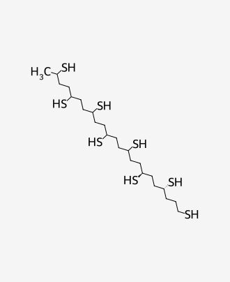 CC(S)CCC(S)CCC(S)CCC(S)CCC(S)CC[C@H](S)CC[C@H](S)CCCS